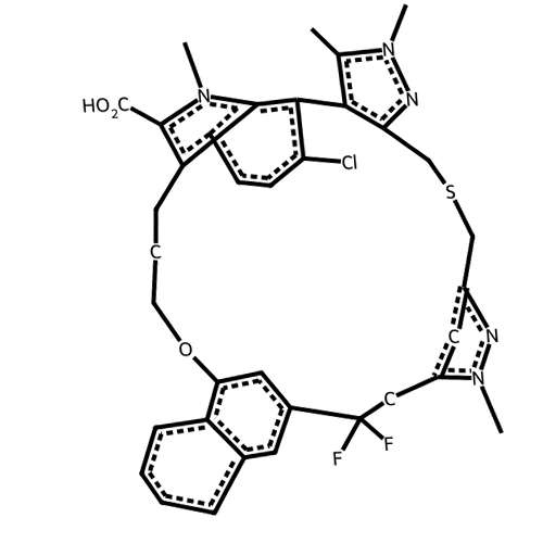 Cc1c2c(nn1C)CSCc1cc(n(C)n1)CC(F)(F)c1cc(c3ccccc3c1)OCCCc1c(C(=O)O)n(C)c3c-2c(Cl)ccc13